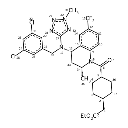 CCOC(=O)C[C@H]1CC[C@H](C(=O)N2c3ccc(C(F)(F)F)cc3[C@@H](N(Cc3cc(Cl)cc(Cl)c3)c3nnn(C)n3)C[C@H]2C)CC1